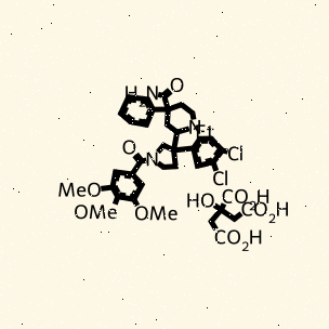 CCN1CCC(C(N)=O)(c2ccccc2)CC1C1(c2ccc(Cl)c(Cl)c2)CCN(C(=O)c2cc(OC)c(OC)c(OC)c2)C1.O=C(O)CC(O)(CC(=O)O)C(=O)O